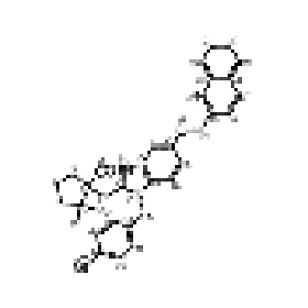 CC1(C)CCCC1(Cc1nc2cc(OCc3ccc4ccccc4n3)ccc2n1Cc1ccc(Br)cc1)C(=O)O